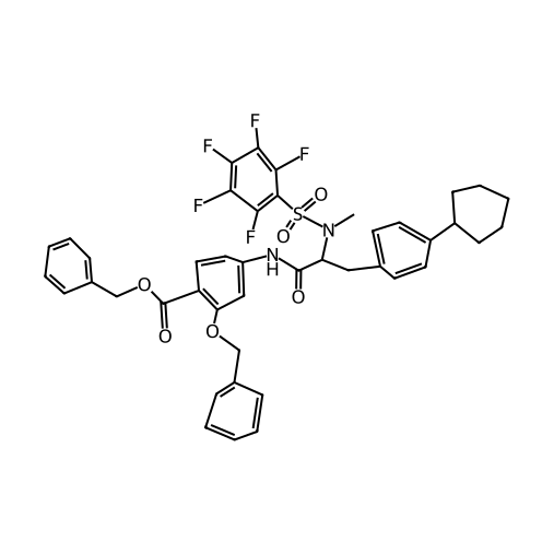 CN(C(Cc1ccc(C2CCCCC2)cc1)C(=O)Nc1ccc(C(=O)OCc2ccccc2)c(OCc2ccccc2)c1)S(=O)(=O)c1c(F)c(F)c(F)c(F)c1F